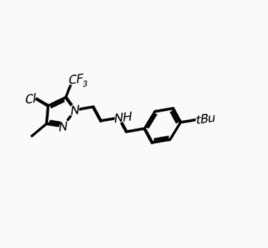 Cc1nn(CCNCc2ccc(C(C)(C)C)cc2)c(C(F)(F)F)c1Cl